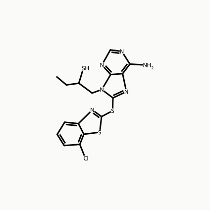 CCC(S)Cn1c(Sc2nc3cccc(Cl)c3s2)nc2c(N)ncnc21